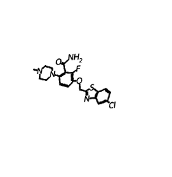 CN1CCN(c2ccc(OCc3nc4cc(Cl)ccc4s3)c(F)c2C(N)=O)CC1